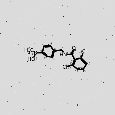 CB(O)c1ccc(CNC(=O)c2c(Cl)cccc2Cl)cc1